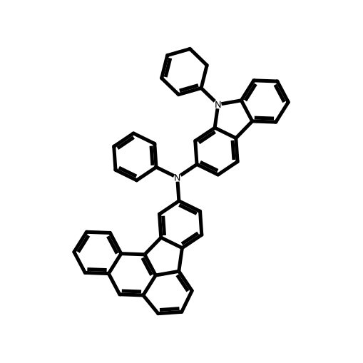 C1=CCCC(n2c3ccccc3c3ccc(N(c4ccccc4)c4ccc5c(c4)-c4c6ccccc6cc6cccc-5c46)cc32)=C1